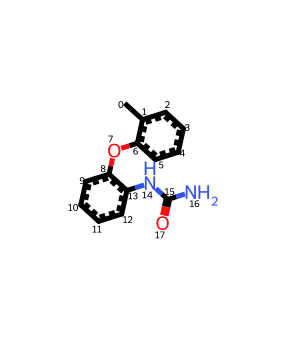 Cc1ccccc1Oc1ccccc1NC(N)=O